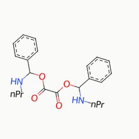 CCCNC(OC(=O)C(=O)OC(NCCC)c1ccccc1)c1ccccc1